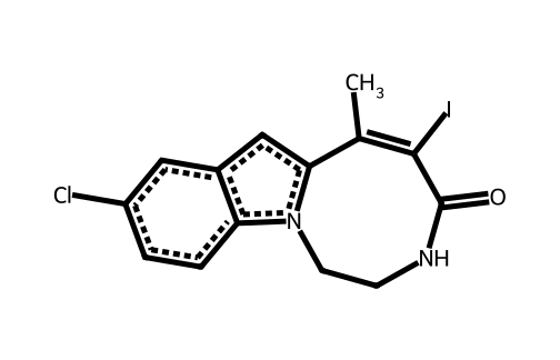 C/C1=C(\I)C(=O)NCCn2c1cc1cc(Cl)ccc12